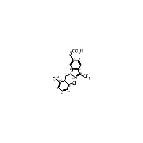 O=C(O)Cc1ccc2c(C(F)(F)F)nn(CC3C(Cl)=CC=CC3Cl)c2c1